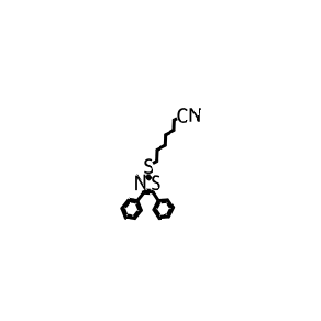 N#CCCCCCCSc1nc(-c2ccccc2)c(-c2ccccc2)s1